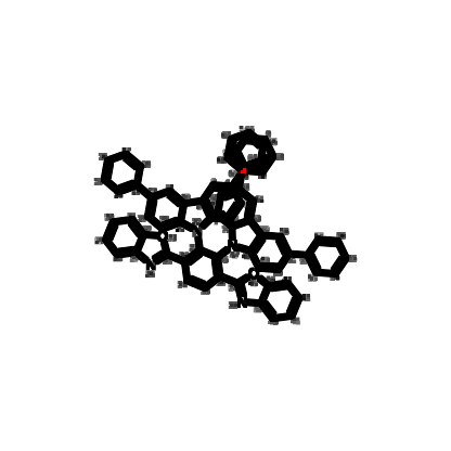 c1ccc(-c2ccc3c(c2)c2cc(-c4ccccc4)ccc2n3-c2c(-c3nc4ccccc4o3)ccc(-c3nc4ccccc4o3)c2-n2c3ccc(-c4ccccc4)cc3c3cc(-c4ccccc4)ccc32)cc1